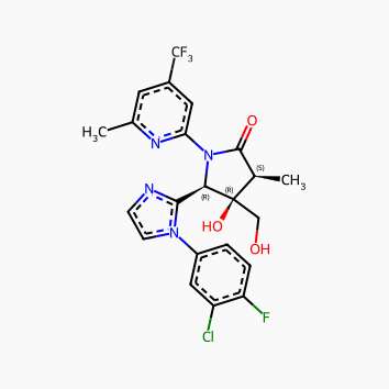 Cc1cc(C(F)(F)F)cc(N2C(=O)[C@@H](C)[C@](O)(CO)[C@H]2c2nccn2-c2ccc(F)c(Cl)c2)n1